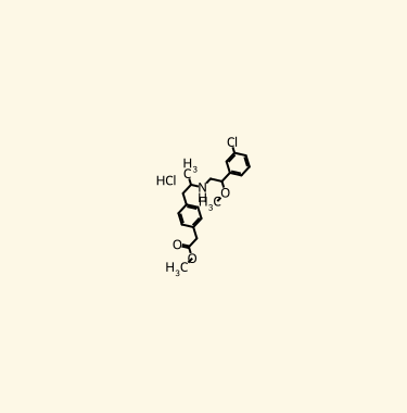 COC(=O)Cc1ccc(CC(C)NCC(OC)c2cccc(Cl)c2)cc1.Cl